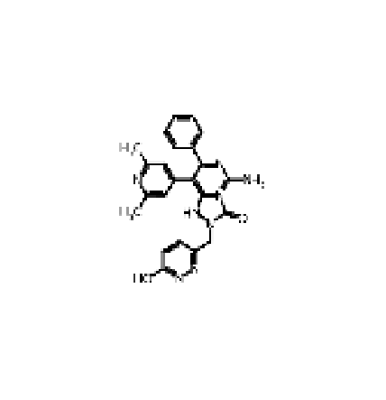 Cc1cc(-c2c(-c3ccccc3)nc(N)[n+]3c(=O)n(Cc4ccc(O)nn4)[nH]c23)cc(C)n1